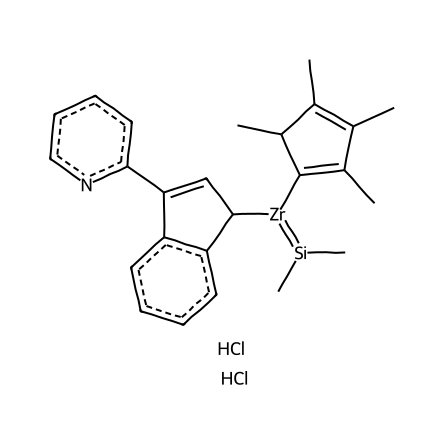 CC1=C(C)C(C)[C]([Zr]([CH]2C=C(c3ccccn3)c3ccccc32)=[Si](C)C)=C1C.Cl.Cl